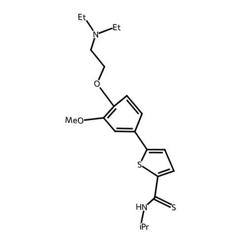 CCN(CC)CCOc1ccc(-c2ccc(C(=S)NC(C)C)s2)cc1OC